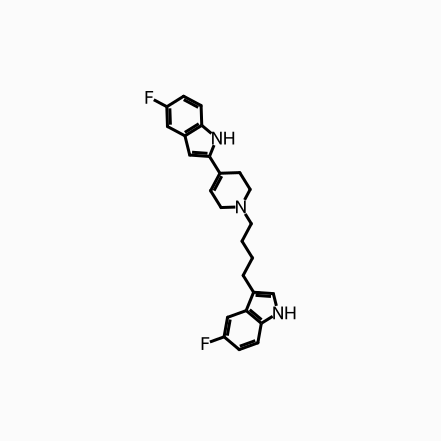 Fc1ccc2[nH]c(C3=CCN(CCCCc4c[nH]c5ccc(F)cc45)CC3)cc2c1